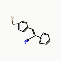 N#CC(=Cc1ccc(CBr)cc1)c1ccccc1